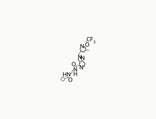 Cc1cc(Cn2cc3c(C(=O)NCCNC(=O)C4CCC4)nccc3n2)cnc1OCC(F)(F)F